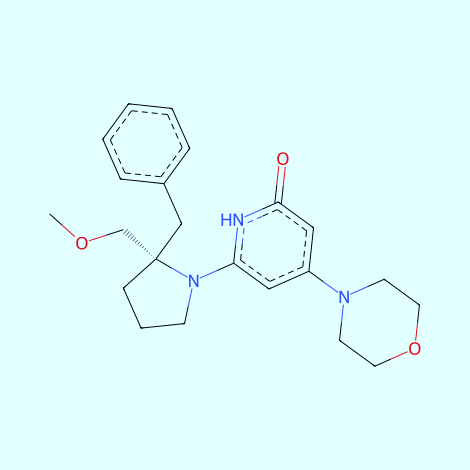 COC[C@@]1(Cc2ccccc2)CCCN1c1cc(N2CCOCC2)cc(=O)[nH]1